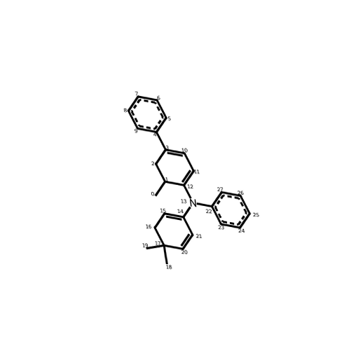 CC1CC(c2ccccc2)=CC=C1N(C1=CCC(C)(C)C=C1)c1ccccc1